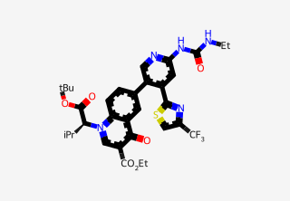 CCNC(=O)Nc1cc(-c2nc(C(F)(F)F)cs2)c(-c2ccc3c(c2)c(=O)c(C(=O)OCC)cn3[C@H](C(=O)OC(C)(C)C)C(C)C)cn1